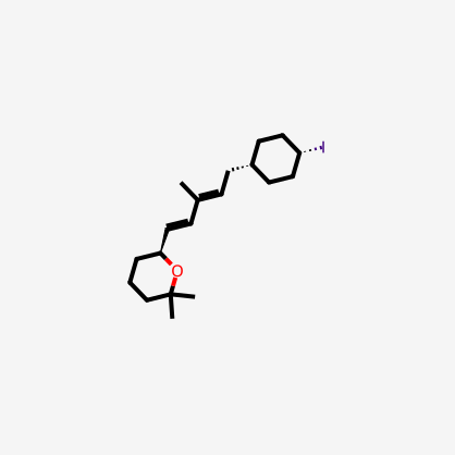 CC(/C=C/[C@@H]1CCCC(C)(C)O1)=C\C[C@H]1CC[C@@H](I)CC1